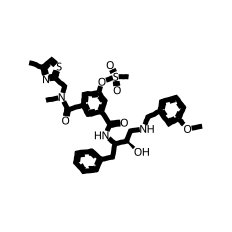 COc1cccc(CNC[C@@H](O)C(Cc2ccccc2)NC(=O)c2cc(OS(C)(=O)=O)cc(C(=O)N(C)Cc3nc(C)cs3)c2)c1